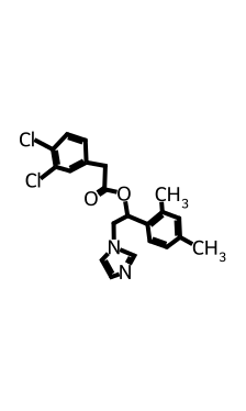 Cc1ccc(C(Cn2ccnc2)OC(=O)Cc2ccc(Cl)c(Cl)c2)c(C)c1